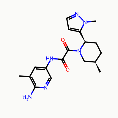 Cc1cc(NC(=O)C(=O)N2C[C@H](C)CC[C@@H]2c2ccnn2C)cnc1N